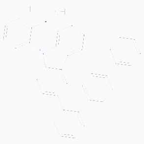 CC1(C)c2ccccc2-n2c3ccc(-c4ccccc4-c4ccc(-c5ccccc5)cc4)cc3c3cccc1c32